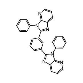 c1ccc(-n2c(-c3cccc(-c4nc5cccnc5n4-c4ccccc4)c3)nc3cccnc32)cc1